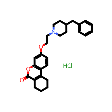 Cl.O=c1oc2cc(OCCN3CCC(Cc4ccccc4)CC3)ccc2c2c1CCCC2